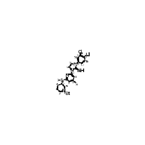 CCN1CCCC(Nc2cc(C)cc(N3CCN(c4ccc(Cl)c(Cl)c4)C3=N)n2)C1